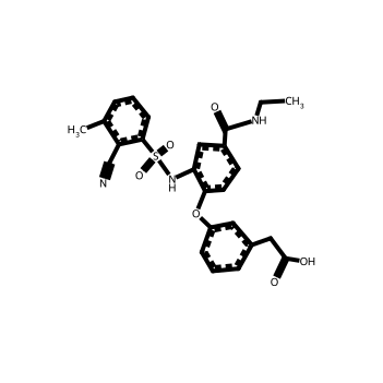 CCNC(=O)c1ccc(Oc2cccc(CC(=O)O)c2)c(NS(=O)(=O)c2cccc(C)c2C#N)c1